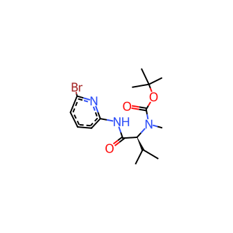 CC(C)[C@@H](C(=O)Nc1cccc(Br)n1)N(C)C(=O)OC(C)(C)C